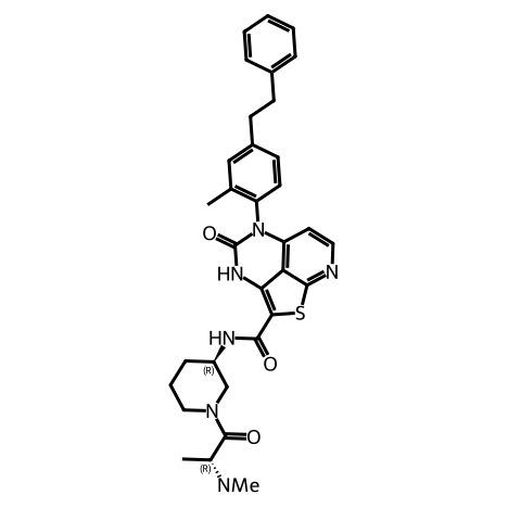 CN[C@H](C)C(=O)N1CCC[C@@H](NC(=O)c2sc3nccc4c3c2NC(=O)N4c2ccc(CCc3ccccc3)cc2C)C1